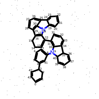 C1=CCC(c2cccc(N3c4c(C5=CCCc6c5n5c7ccccc7c7cccc6c75)cccc4C4C=CC=CC43)c2)C=C1